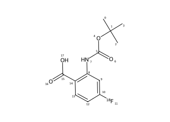 CC(C)(C)OC(=O)Nc1cc([18F])ccc1C(=O)O